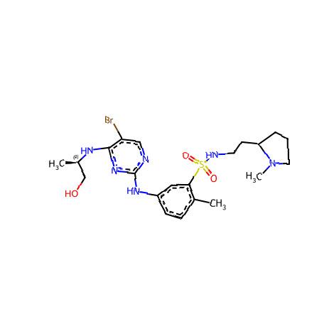 Cc1ccc(Nc2ncc(Br)c(N[C@H](C)CO)n2)cc1S(=O)(=O)NCCC1CCCN1C